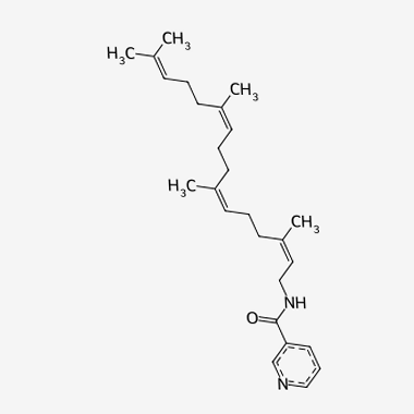 CC(C)=CCCC(C)=CCCC(C)=CCCC(C)=CCNC(=O)c1cccnc1